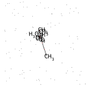 CCCCCCCCCCCCCCCCCC(=O)OCc1cc(OC)c(C/C=C(\C)C[CH]C=C(C)C)c(O)c1C=O